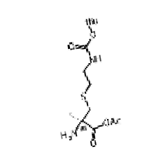 CC(=O)OC(=O)[C@@](C)(N)CSCCNC(=O)OC(C)(C)C